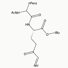 CCCCCC(NC(C)=O)C(=O)N[C@@H](CCC(=O)C=N)C(=O)OC(C)(C)C